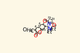 CCN(CC)C(c1ccc2cc(C=O)c(=O)oc2c1)N1C(=O)CCC1=O